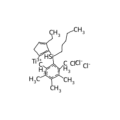 CCCCC[SiH](C1=[C]([Ti+3])CC=C1CC)c1c(C)c(C)c(C)c(C)c1C.[Cl-].[Cl-].[Cl-]